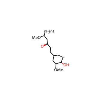 CCCCCC(CC(=O)CCC1CCC(O)C(OC)C1)OC